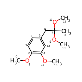 COc1ccc(CC(C)(OC)OC)cc1OC